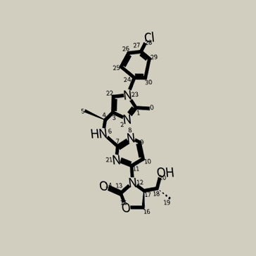 Cc1nc([C@H](C)Nc2nccc(N3C(=O)OC[C@@H]3[C@@H](C)O)n2)cn1-c1ccc(Cl)cc1